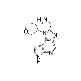 C[C@@H](N)c1nc2cnc3[nH]ccc3c2n1C1CCCOC1